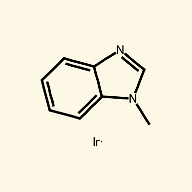 Cn1cnc2ccccc21.[Ir]